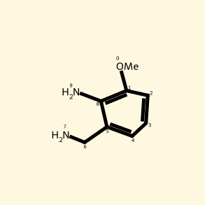 COc1cccc(CN)c1N